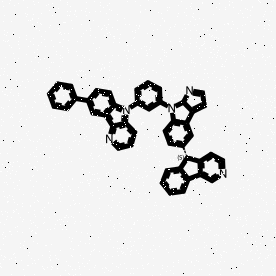 C1=NC2C(=C1)c1cc([C@H]3c4ccccc4-c4cnccc43)ccc1N2c1cccc(-n2c3ccc(-c4ccccc4)cc3c3ncccc32)c1